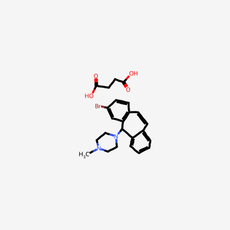 CN1CCN(C2c3ccccc3C=Cc3ccc(Br)cc32)CC1.O=C(O)CCC(=O)O